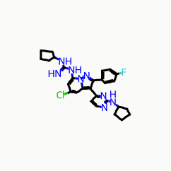 N=C(Nc1cc(Cl)cc2c(-c3ccnc(NC4CCCC4)n3)c(-c3ccc(F)cc3)nn12)NC1CCCC1